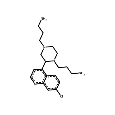 NCCCN1CCN(CCCN)C(c2ccnc3cc(Cl)ccc23)C1